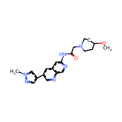 COC1CCN(CC(=O)Nc2cc3cc(-c4cnn(C)c4)cnc3cn2)CC1